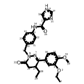 CCOc1cc(C2=NN(Cc3ccc(NC(=O)c4c[nH]cn4)cc3)C(=O)CC2CC)ccc1OC